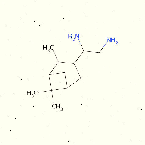 CC1C(C(N)CN)CC2CC1C2(C)C